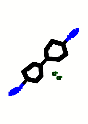 N#[N+]c1ccc(-c2ccc([N+]#N)cc2)cc1.[Cl-].[Cl-]